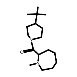 CN1CCCCCC1C(=O)N1CCC(C(C)(C)C)CC1